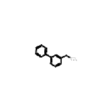 ClC(Cl)(Cl)Cc1cccc(-c2cc[c]cc2)c1